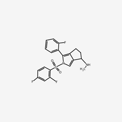 CNC1CCc2c1cn(S(=O)(=O)c1ccc(F)cc1F)c2-c1ccccc1F